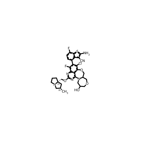 C[C@H]1CN2CCC[C@@]2(COc2nc3c4c(c(Cl)c(-c5ccc(F)c6sc(N)c(C#N)c56)c(F)c4n2)OCC2COCC(O)CN32)C1